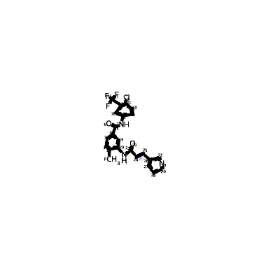 Cc1ccc(C(=O)Nc2ccc(Cl)c(C(F)(F)F)c2)cc1NC(=O)/C=C/c1cccnc1